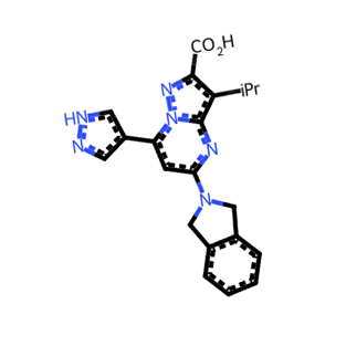 CC(C)c1c(C(=O)O)nn2c(-c3cn[nH]c3)cc(N3Cc4ccccc4C3)nc12